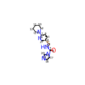 O=C(NSc1ccc(N2CCCCC2)nc1)n1ccnc1